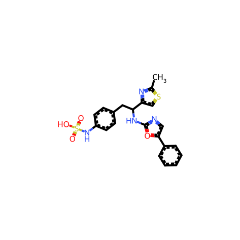 Cc1nc(C(Cc2ccc(NS(=O)(=O)O)cc2)Nc2ncc(-c3ccccc3)o2)cs1